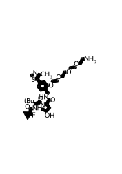 Cc1ncsc1-c1ccc(CNC(=O)C2CC(O)CN2C(=O)[C@@H](NC(=O)C2(F)CC2)C(C)(C)C)c(OCCOCCOCCOCCN)c1